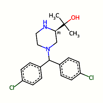 CC(C)(O)[C@H]1CN(C(c2ccc(Cl)cc2)c2ccc(Cl)cc2)CCN1